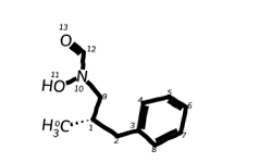 C[C@@H](Cc1ccccc1)CN(O)C=O